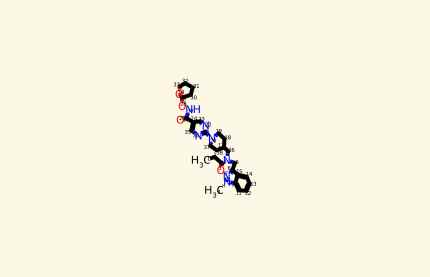 CCC(=O)N(Cc1nn(C)c2ccccc12)CC1CCN(c2ncc(C(=O)NOC3CCCCO3)cn2)CC1